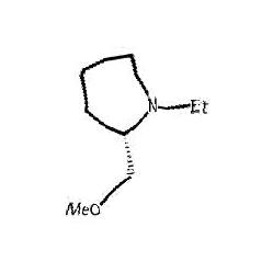 [CH2]CN1CCC[C@H]1COC